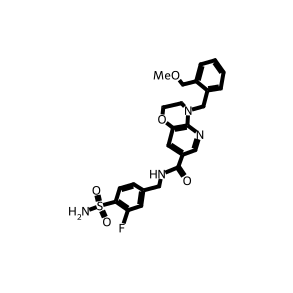 COCc1ccccc1CN1CCOc2cc(C(=O)NCc3ccc(S(N)(=O)=O)c(F)c3)cnc21